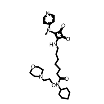 CN(c1ccncc1)c1c(NCCCCCCC(=O)N(OCCN2CCOCC2)C2CCCCC2)c(=O)c1=O